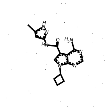 Cc1cc(NC(=O)c2cn(C3CCC3)c3ncnc(N)c23)n[nH]1